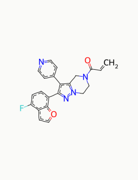 C=CC(=O)N1CCn2nc(-c3ccc(F)c4ccoc34)c(-c3ccncc3)c2C1